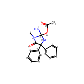 CN1C(=O)C(c2ccccc2)(c2ccccc2)NC1(N)OC(=O)C(F)(F)F